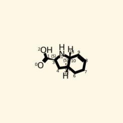 O=C(O)[C@@H]1C[C@H]2CCC=C[C@H]2N1